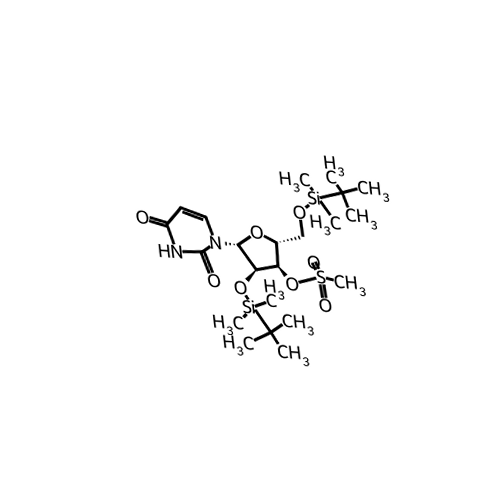 CC(C)(C)[Si](C)(C)OC[C@H]1O[C@@H](n2ccc(=O)[nH]c2=O)[C@H](O[Si](C)(C)C(C)(C)C)[C@@H]1OS(C)(=O)=O